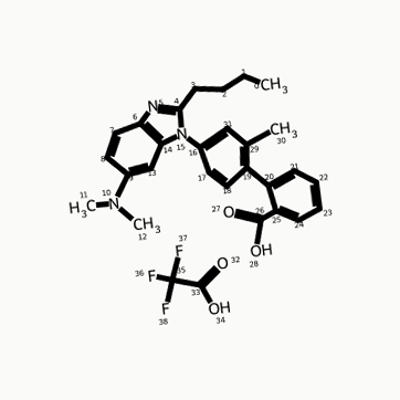 CCCCc1nc2ccc(N(C)C)cc2n1-c1ccc(-c2ccccc2C(=O)O)c(C)c1.O=C(O)C(F)(F)F